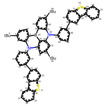 CC(C)(C)c1ccc2c(c1)N(c1cccc(-c3ccc4sc5ccccc5c4c3)c1)c1cc(C(C)(C)C)cc3c1B2c1ccc(C(C)(C)C)cc1N3c1cccc(-c2ccc3sc4ccccc4c3c2)c1